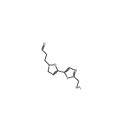 NCc1ncc(C2=CCC(CCC=O)O2)s1